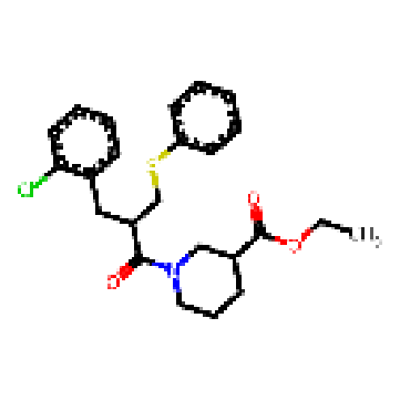 CCOC(=O)C1CCCN(C(=O)C(CSc2ccccc2)Cc2ccccc2Cl)C1